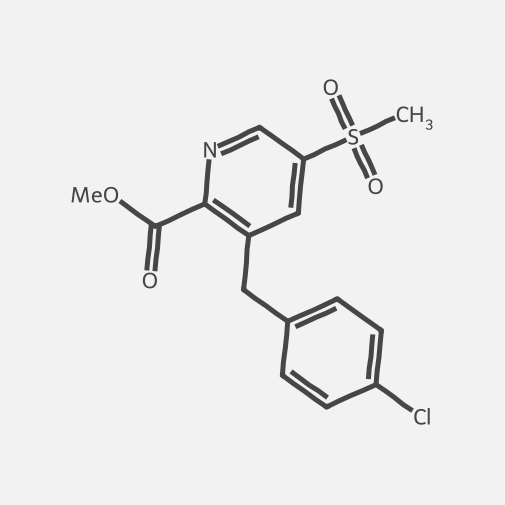 COC(=O)c1ncc(S(C)(=O)=O)cc1Cc1ccc(Cl)cc1